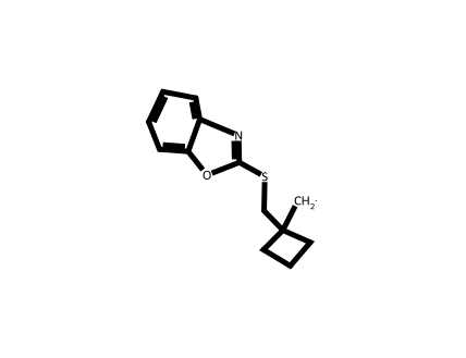 [CH2]C1(CSc2nc3ccccc3o2)CCC1